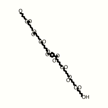 O=CCCCCCOC(=O)CCCCCOC(=O)CCCCCOC(=O)CCCCCOC(=O)c1ccc(C(=O)C(=O)CCCCCOC(=O)CCCCCOC(=O)CCCCCOC(=O)CCCCCO)cc1